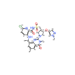 Cc1cc([C@@H](C)Nc2ccc(Cl)nc2C(=O)NS(C)(=O)=O)c2nc(N3CC[C@H](Oc4cnn(C)c4)C3)n(C)c(=O)c2c1